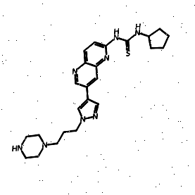 S=C(Nc1ccc2ncc(-c3cnn(CCCN4CCNCC4)c3)cc2n1)NC1CCCC1